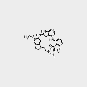 COc1cc2c(cc1Nc1cc3c(Nc4cccc(F)c4C(N)=O)cncc3[nH]1)N(CCN(C)C)CC2